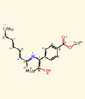 CCCOC(=O)c1ccc(C(/N=C(\C)CCCCCOC)=C(\O)NC)cc1